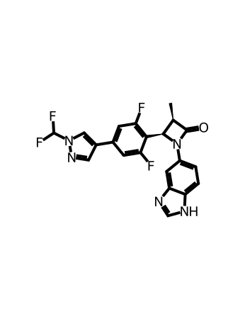 C[C@H]1C(=O)N(c2ccc3[nH]cnc3c2)[C@H]1c1c(F)cc(-c2cnn(C(F)F)c2)cc1F